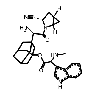 CN[C@H](C(=O)OC12CC3CC(C1)CC([C@H](N)C(=O)N1[C@H](C#N)C[C@@H]4C[C@@H]41)(C3)C2)c1c[nH]c2ccccc12